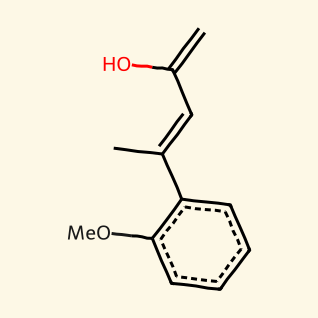 C=C(O)/C=C(\C)c1ccccc1OC